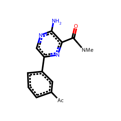 CNC(=O)c1nc(-c2cccc(C(C)=O)c2)cnc1N